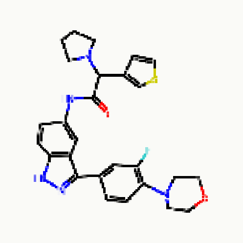 O=C(Nc1ccc2[nH]nc(-c3ccc(N4CCOCC4)c(F)c3)c2c1)C(c1ccsc1)N1CCCC1